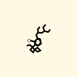 CCC(CC)CC(CC)Cc1cccc(C2(CC)CCC23CCC3)c1Cl